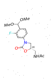 COC(OC)c1ccc(N2C[C@H](CNC(C)=O)OC2=O)cc1F